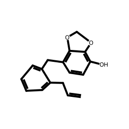 C=CCc1ccccc1Cc1ccc(O)c2c1OCO2